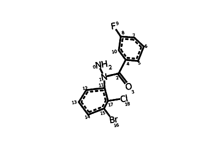 NN(C(=O)c1cccc(F)c1)c1cccc(Br)c1Cl